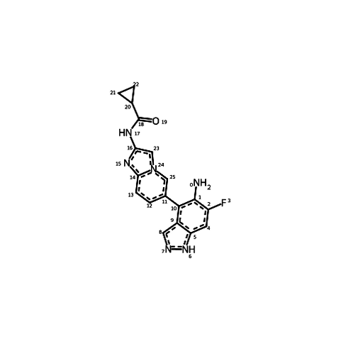 Nc1c(F)cc2[nH]ncc2c1-c1ccc2nc(NC(=O)C3CC3)cn2c1